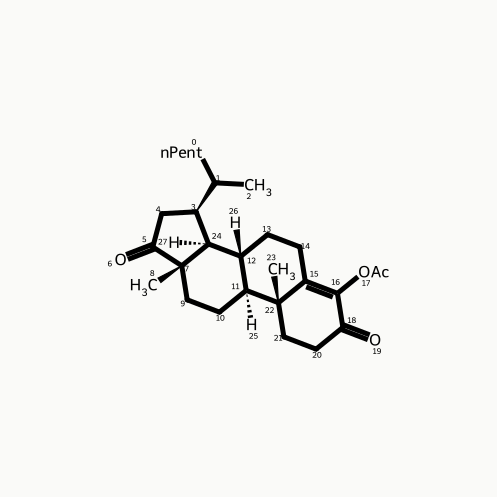 CCCCCC(C)[C@@H]1CC(=O)[C@@]2(C)CC[C@H]3[C@@H](CCC4=C(OC(C)=O)C(=O)CC[C@@]43C)[C@H]12